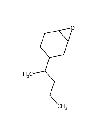 CCCC(C)C1CCC2OC2C1